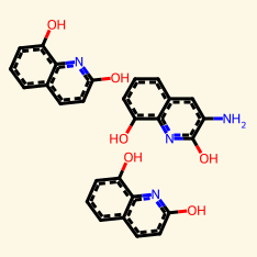 Nc1cc2cccc(O)c2nc1O.Oc1ccc2cccc(O)c2n1.Oc1ccc2cccc(O)c2n1